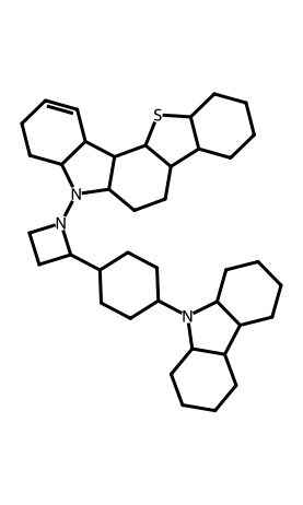 C1=CC2C3C4SC5CCCCC5C4CCC3N(N3CCC3C3CCC(N4C5CCCCC5C5CCCCC54)CC3)C2CC1